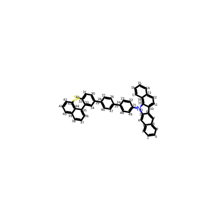 c1ccc2cc3c(cc2c1)c1ccc2ccccc2c1n3-c1ccc(-c2ccc(-c3ccc4c(c3)-c3cccc5cccc(c35)S4)cc2)cc1